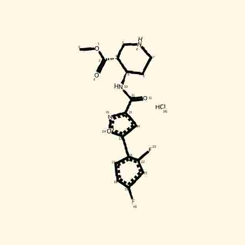 COC(=O)[C@@H]1CNCC[C@H]1NC(=O)c1cc(-c2ccc(F)cc2F)on1.Cl